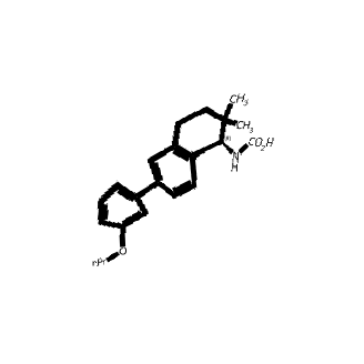 CCCOc1cccc(-c2ccc3c(c2)CCC(C)(C)[C@H]3NC(=O)O)c1